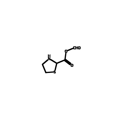 O=COC(=O)C1NCCS1